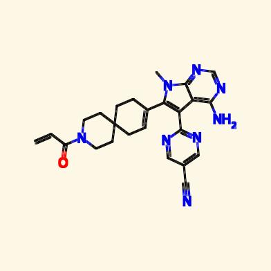 C=CC(=O)N1CCC2(CC=C(c3c(-c4ncc(C#N)cn4)c4c(N)ncnc4n3C)CC2)CC1